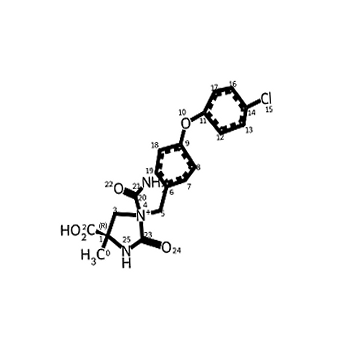 C[C@]1(C(=O)O)C[N+](Cc2ccc(Oc3ccc(Cl)cc3)cc2)(C(N)=O)C(=O)N1